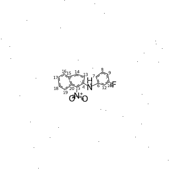 O=[N+]([O-])c1c(Nc2cccc(F)c2)ccc2ccccc12